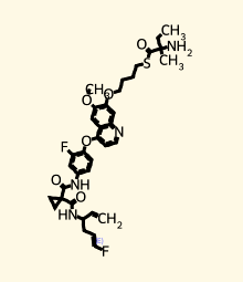 C=CC(C/C=C/F)NC(=O)C1(C(=O)Nc2ccc(Oc3ccnc4cc(OCCCCSC(=O)C(C)(N)CC)c(OC)cc34)c(F)c2)CC1